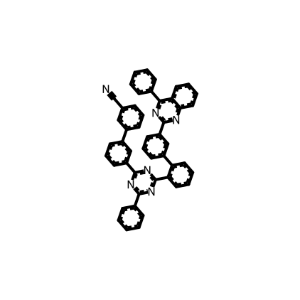 N#Cc1cccc(-c2cccc(-c3nc(-c4ccccc4)nc(-c4ccccc4-c4cccc(-c5nc(-c6ccccc6)c6ccccc6n5)c4)n3)c2)c1